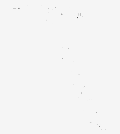 CCCCC(CCCC)CCCCCCCC=CCCCCCCCCN